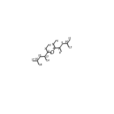 CCC(OC(CC)C(C)CC(C)C)C(C)CC(C)C